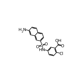 Nc1ccc2ccc(S(=O)(=O)Nc3ccc(Cl)c(C(=O)O)c3)cc2c1